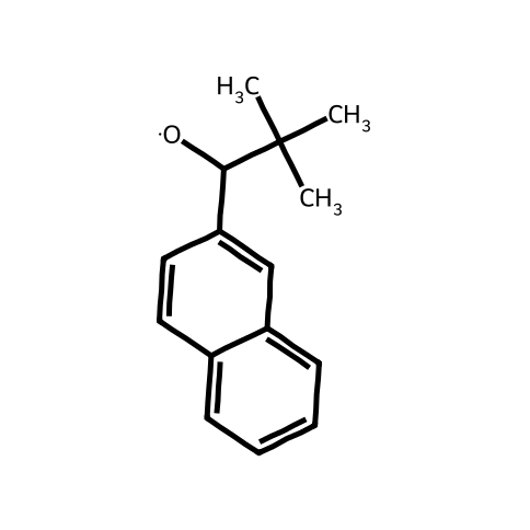 CC(C)(C)C([O])c1ccc2ccccc2c1